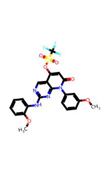 COc1cccc(-n2c(=O)cc(OS(=O)(=O)C(F)(F)F)c3cnc(Nc4ccccc4OC)nc32)c1